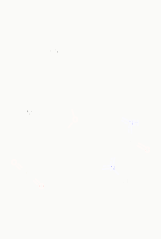 CCS(=O)(=O)c1ccc(Oc2ccc(C#N)cc2OC)c(-c2cn(C)c3c(=O)[nH]ccc23)c1